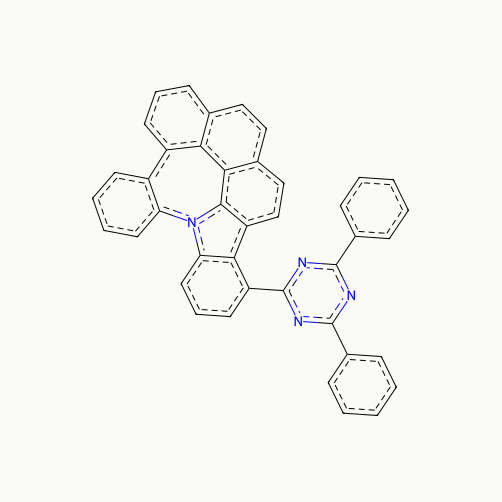 c1ccc(-c2nc(-c3ccccc3)nc(-c3cccc4c3c3ccc5ccc6cccc7c8ccccc8n4c3c5c67)n2)cc1